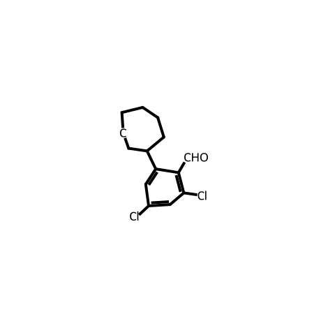 O=Cc1c(Cl)cc(Cl)cc1C1CCCCCC1